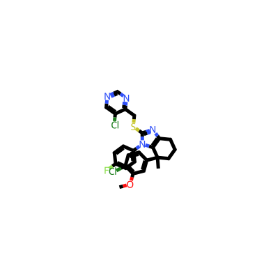 COc1cc(C2(C)CCCc3nc(SCc4ncncc4Cl)n(-c4ccc(F)cc4)c32)ccc1Cl